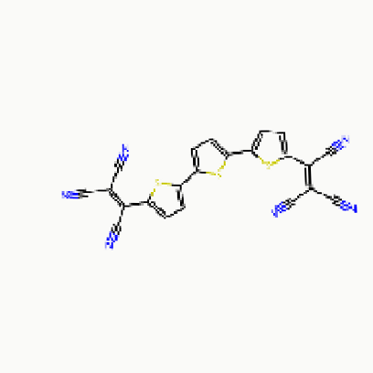 N#CC(C#N)=C(C#N)c1ccc(-c2ccc(-c3ccc(C(C#N)=C(C#N)C#N)s3)s2)s1